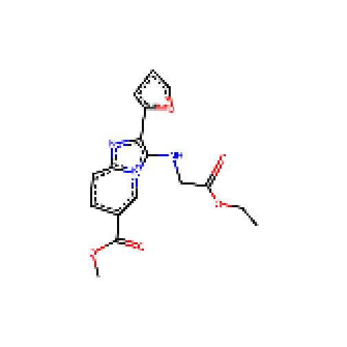 CCOC(=O)CNc1c(-c2ccco2)nc2ccc(C(=O)OC)cn12